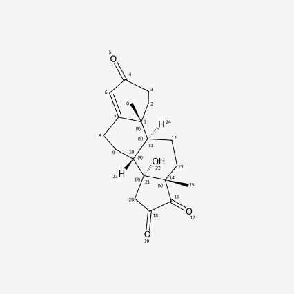 C[C@]12CCC(=O)C=C1CC[C@@H]1[C@@H]2CC[C@]2(C)C(=O)C(=O)C[C@@]12O